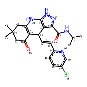 CC(C)NC(=O)c1n[nH]c2c1C(/C=C/c1ccc(Br)cn1)C1=C(CC(C)(C)CC1=O)N2